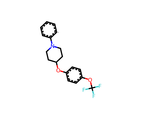 FC(F)(F)Oc1ccc(OC2CCN(c3[c]cccc3)CC2)cc1